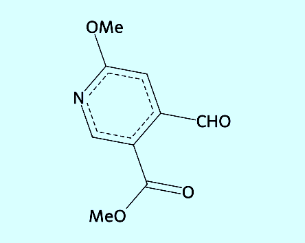 COC(=O)c1cnc(OC)cc1C=O